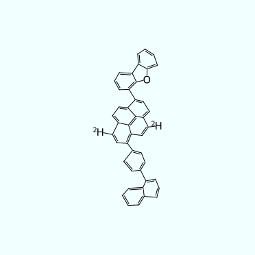 [2H]c1cc(-c2ccc(-c3cccc4ccccc34)cc2)c2cc([2H])c3ccc(-c4cccc5c4oc4ccccc45)c4ccc1c2c34